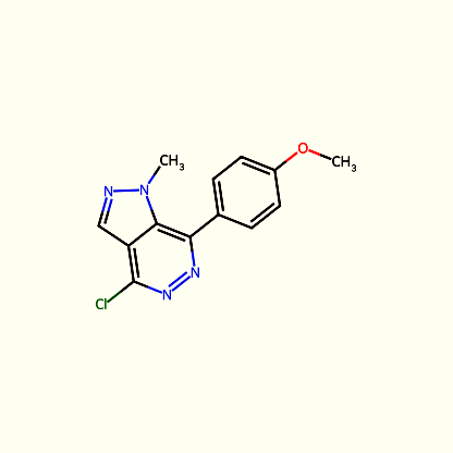 COc1ccc(-c2nnc(Cl)c3cnn(C)c23)cc1